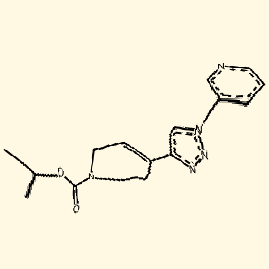 CC(C)OC(=O)N1CC=C(c2cn(-c3cccnc3)nn2)CC1